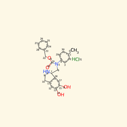 Cc1ccc(N(CC2NCCc3cc(O)c(O)cc32)C(=O)OCc2ccccc2)cc1.Cl